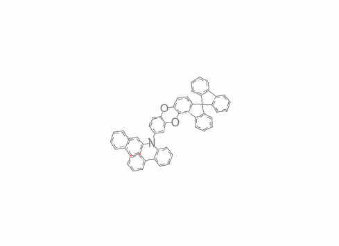 c1ccc(-c2ccccc2N(c2ccc3c(c2)Oc2c(ccc4c2-c2ccccc2C42c4ccccc4-c4ccccc42)O3)c2ccc3ccccc3c2)cc1